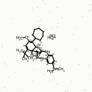 COC1=C(C2CCCCCC2)C(NC(=O)Nc2ccc(N(C)C)cc2)C(O)(C(=O)CN)C(C(C)(C)C)=C1.Cl.Cl